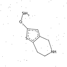 [SiH3]Oc1cc2c(s1)CCNC2